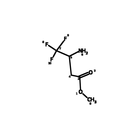 COC(=O)CC(N)C(F)(F)F